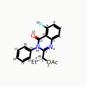 CC[C@@H](OC(C)=O)c1nc2cccc(F)c2c(=O)n1-c1ccccc1